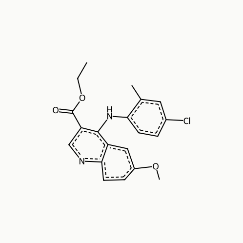 CCOC(=O)c1cnc2ccc(OC)cc2c1Nc1ccc(Cl)cc1C